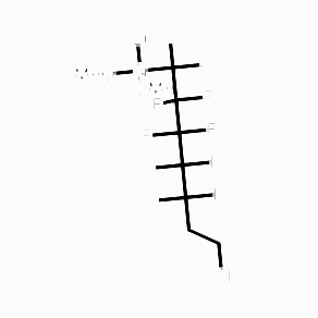 CC[Si](OC)(OC)C(F)(F)C(F)(F)C(F)(F)C(F)(F)C(F)(F)CCC(F)(F)F